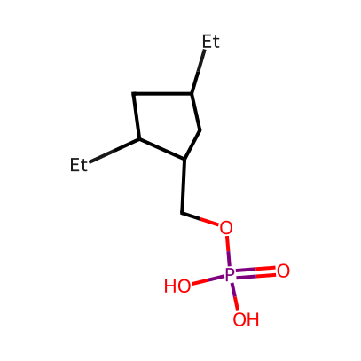 CCC1CC(CC)C(COP(=O)(O)O)C1